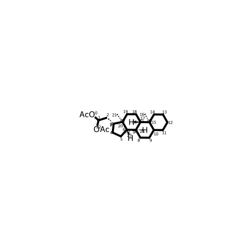 CC(=O)OC(C[C@H]1CC[C@H]2[C@@H]3CCC4CCCC[C@]4(C)[C@H]3CC[C@]12C)OC(C)=O